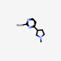 CNc1nccc(C2CCN(C)C2)n1